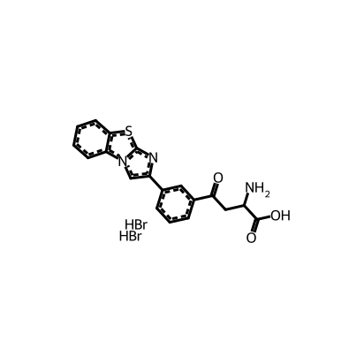 Br.Br.NC(CC(=O)c1cccc(-c2cn3c(n2)sc2ccccc23)c1)C(=O)O